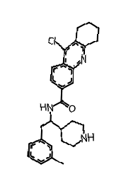 Cc1cccc(CC(NC(=O)c2ccc3c(Cl)c4c(nc3c2)CCCC4)C2CCNCC2)c1